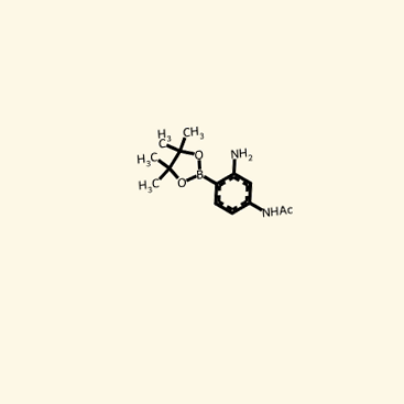 CC(=O)Nc1ccc(B2OC(C)(C)C(C)(C)O2)c(N)c1